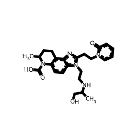 CC(CO)NCCn1c(CCn2ccccc2=O)nc2c3c(ccc21)N(C(=O)O)C(C)CC3